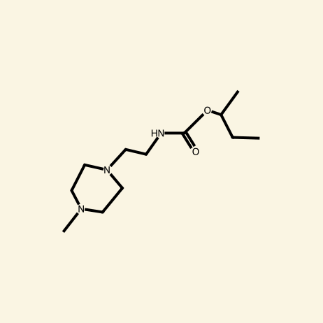 CCC(C)OC(=O)NCCN1CCN(C)CC1